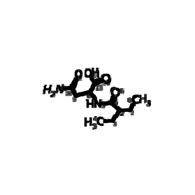 CCC(CC)C(=O)NC(CC(N)=O)C(=O)O